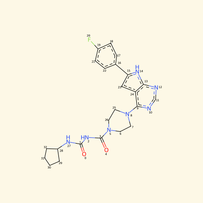 O=C(NC(=O)N1CCN(c2ncnc3[nH]c(-c4ccc(F)cc4)cc23)CC1)NC1CCCC1